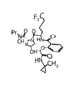 CC(C)N(C)C(=O)[C@H]1C[C@H](O)CN1C(=O)[C@@H](CCCC(F)(F)F)NC(=O)c1ccccc1OCC(=O)NC1(C)CC1